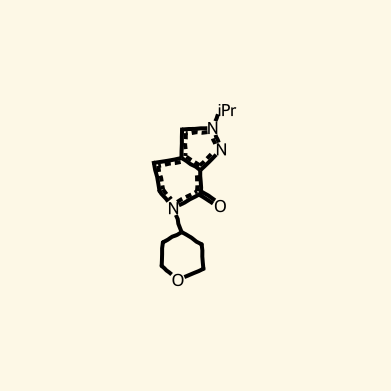 CC(C)n1cc2ccn(C3CCOCC3)c(=O)c2n1